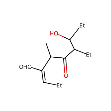 CCC=C(C=O)C(C)C(=O)C(CC)C(O)CC